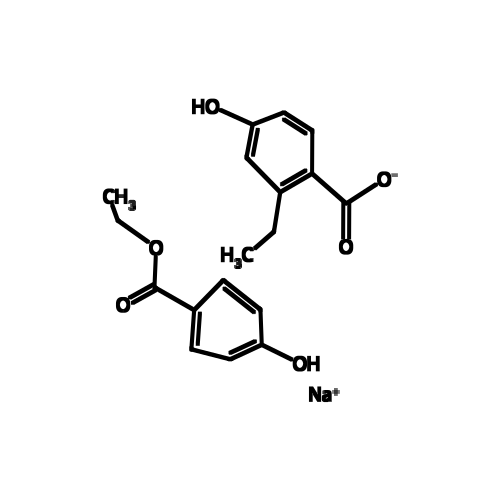 CCOC(=O)c1ccc(O)cc1.CCc1cc(O)ccc1C(=O)[O-].[Na+]